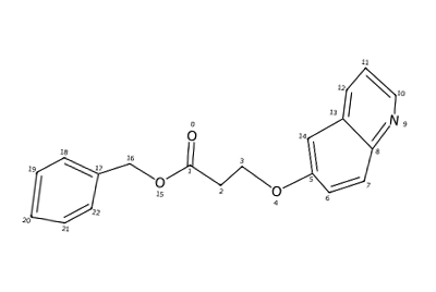 O=C(CCOc1ccc2ncccc2c1)OCc1ccccc1